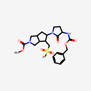 CC(C)S(=O)(=O)CC1C2CN(C(=O)OC(C)(C)C)CC2CC1N1CCC(NC(=O)OCc2ccccc2)C1=O